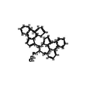 CC(C)[C](C(C)C)=[Zr+2]([C]1=CC=c2c1c1c(c3ccccc23)=CC=CC1)[C]1=CC=c2c1c1c(c3ccccc23)=CC=CC1.[Cl-].[Cl-]